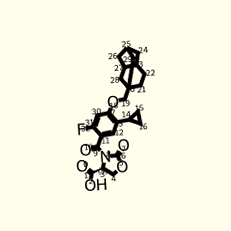 O=C(O)[C@@H]1COC(=O)N1C(=O)c1cc(C2CC2)c(OCC23CCC4CC(CC4C2)C3)cc1F